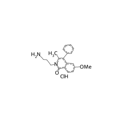 COc1ccc2c(=O)n(CCCN)c(C)c(-c3ccccc3)c2c1.Cl